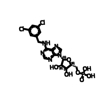 O=P(O)(O)OC[C@H]1O[C@@H](n2cnc3c(NCc4cc(Cl)cc(Cl)c4)ncnc32)[C@H](O)[C@@H]1O